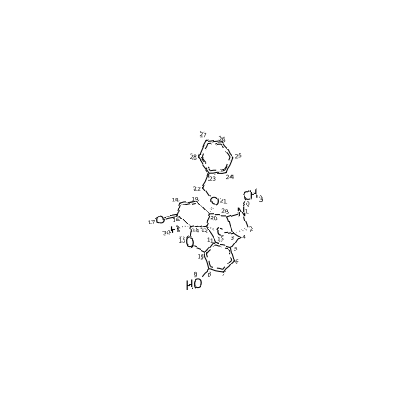 CN1C[C@]23Cc4ccc(O)c5c4[C@@]4(C2)[C@@H](O5)C(=O)C=C[C@@]4(OCc2ccccc2)C13